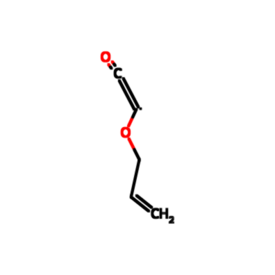 C=CCO[C]=C=O